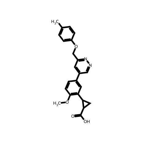 COc1ccc(-c2cnnc(COc3ccc(C)cc3)c2)cc1C1CC1C(=O)O